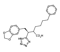 O=C(O)C(CCCCc1ccccc1)[C@H](Cc1ccc2c(c1)OCO2)c1nnn[nH]1